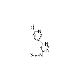 COc1ncc(-c2cc(N=C=S)ncn2)cn1